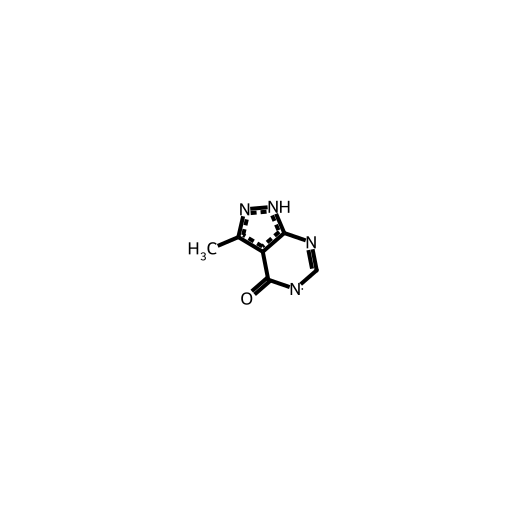 Cc1n[nH]c2c1C(=O)[N]C=N2